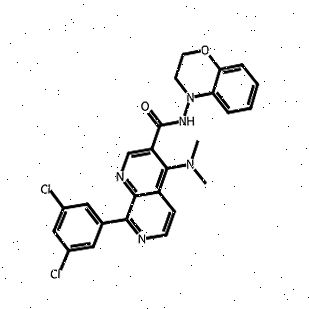 CN(C)c1c(C(=O)NN2CCOc3ccccc32)cnc2c(-c3cc(Cl)cc(Cl)c3)nccc12